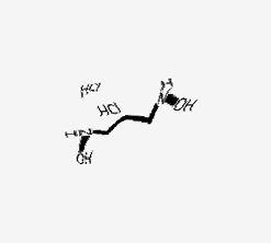 Cl.Cl.ONCCCNO